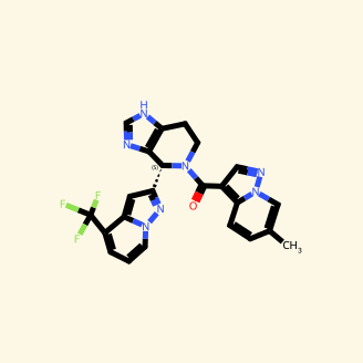 Cc1ccc2c(C(=O)N3CCc4[nH]cnc4[C@H]3c3cc4c(C(F)(F)F)cccn4n3)cnn2c1